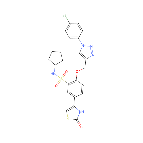 O=c1[nH]c(-c2ccc(OCc3cn(-c4ccc(Cl)cc4)nn3)c(S(=O)(=O)NC3CCCC3)c2)cs1